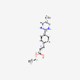 CCCCc1cnc(-c2ccc(/C=C/C(=O)OC[C@H](C)CC)cc2)nc1